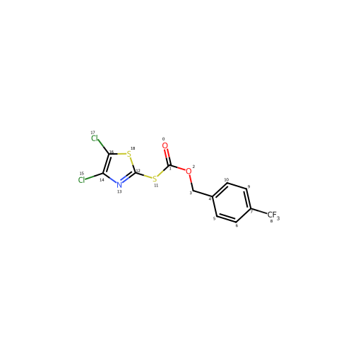 O=C(OCc1ccc(C(F)(F)F)cc1)Sc1nc(Cl)c(Cl)s1